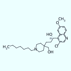 CCCCCCCN1CCC(CO)(CC[C@H](O)c2c(Cl)cnc3ccc(OC)cc23)CC1